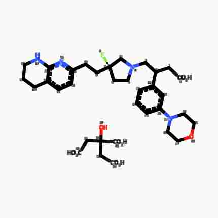 O=C(O)CC(CN1CC[C@@](F)(CCc2ccc3c(n2)NCCC3)C1)c1cccc(N2CCOCC2)c1.O=C(O)CC(O)(CC(=O)O)C(=O)O